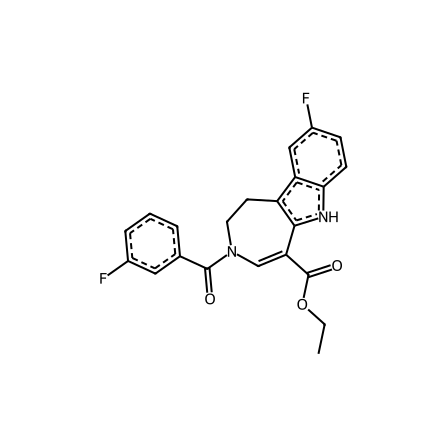 CCOC(=O)C1=CN(C(=O)c2cccc(F)c2)CCc2c1[nH]c1ccc(F)cc21